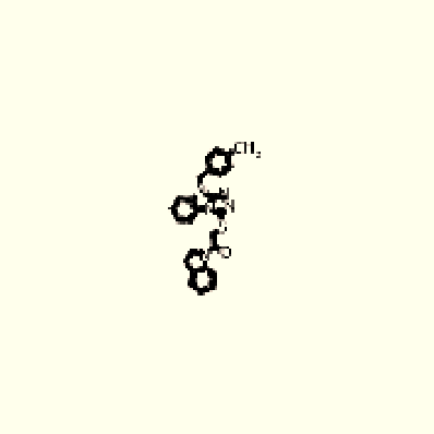 Cc1ccc(Cn2c3ccccc3n3c(SCC(=O)N4CCc5ccccc54)nnc23)cc1